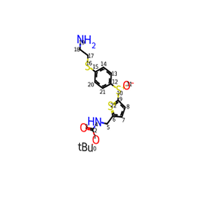 CC(C)(C)OC(=O)NCc1ccc([S+]([O-])c2ccc(SCCN)cc2)s1